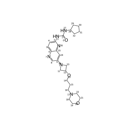 O=C(Nc1ccc2ncc(N3CC(OCCCN4CCOCC4)C3)cc2n1)NC1CCCC1